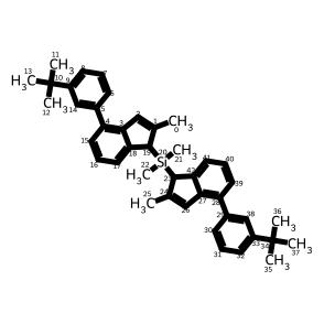 CC1=Cc2c(-c3cccc(C(C)(C)C)c3)cccc2C1[Si](C)(C)C1C(C)=Cc2c(-c3cccc(C(C)(C)C)c3)cccc21